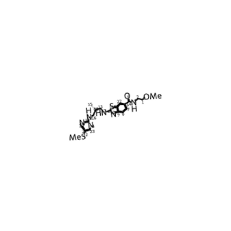 COCCNC(=O)c1ccc2nc(NC[C@@H](C)CNc3ncc(SC)cn3)sc2c1